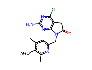 COc1c(C)cc(CN2C(=O)Cc3c(Cl)nc(N)nc32)nc1C